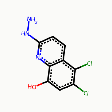 NNc1ccc2c(Cl)c(Cl)cc(O)c2n1